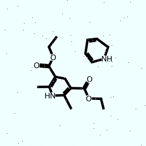 C1=CCNC=C1.CCOC(=O)C1=C(C)NC(C)=C(C(=O)OCC)C1